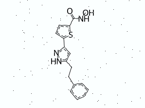 O=C(NO)c1ccc(-c2cc(CCc3ccccc3)[nH]n2)s1